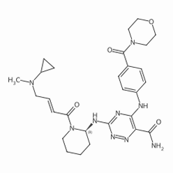 CN(CC=CC(=O)N1CCCC[C@@H]1Nc1nnc(C(N)=O)c(Nc2ccc(C(=O)N3CCOCC3)cc2)n1)C1CC1